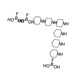 C1CCNCC1.C1CCNCC1.C1CCNCC1.C1CCNCC1.C1CCNCC1.C1CCNCC1.OB(O)F.OB(O)F.OB(O)F